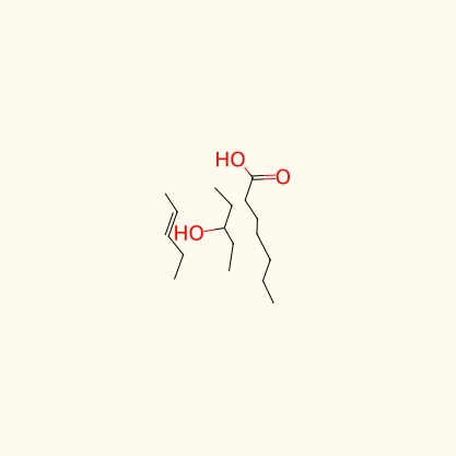 C/C=C/CC.CCC(O)CC.CCCCCCC(=O)O